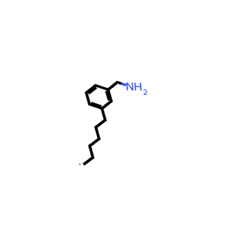 [CH2]CCCCCc1cccc(CN)c1